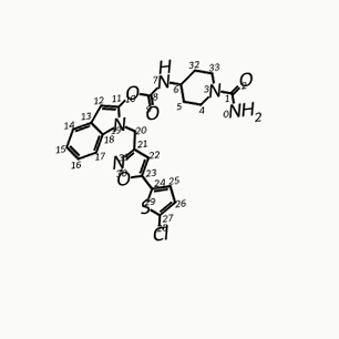 NC(=O)N1CCC(NC(=O)Oc2cc3ccccc3n2Cc2cc(-c3ccc(Cl)s3)on2)CC1